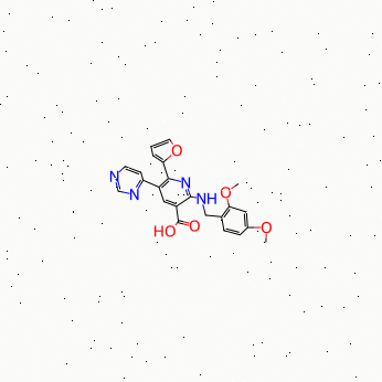 COc1ccc(CNc2nc(-c3ccco3)c(-c3ccncn3)cc2C(=O)O)c(OC)c1